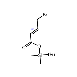 CC(C)(C)[Si](C)(C)OC(=O)/C=C/CBr